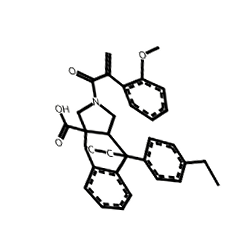 C=C(C(=O)N1CC2C3(c4ccc(CC)cc4)CCC(c4ccccc43)C2(C(=O)O)C1)c1ccccc1OC